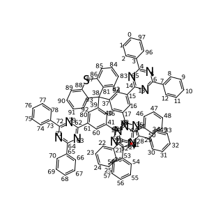 c1ccc(-c2nc(-c3ccccc3)nc(-c3cc(-c4nc(-c5ccccc5)nc(-c5ccccc5)n4)cc(C4(c5cc(-c6nc(-c7ccccc7)nc(-c7ccccc7)n6)cc(-c6nc(-c7ccccc7)nc(-c7ccccc7)n6)c5)c5ccccc5Sc5ccccc54)c3)n2)cc1